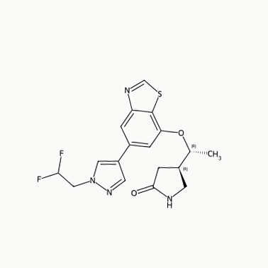 C[C@@H](Oc1cc(-c2cnn(CC(F)F)c2)cc2ncsc12)[C@H]1CNC(=O)C1